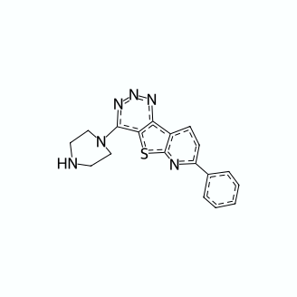 c1ccc(-c2ccc3c(n2)sc2c(N4CCNCC4)nnnc23)cc1